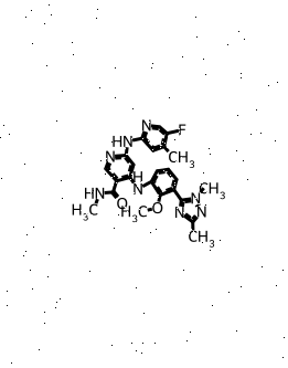 CNC(=O)c1cnc(Nc2cc(C)c(F)cn2)cc1Nc1cccc(-c2nc(C)nn2C)c1OC